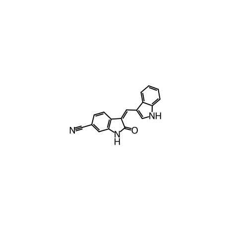 N#Cc1ccc2c(c1)NC(=O)C2=Cc1c[nH]c2ccccc12